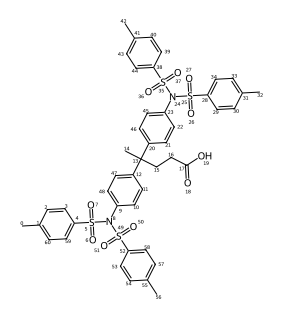 Cc1ccc(S(=O)(=O)N(c2ccc(C(C)(CCC(=O)O)c3ccc(N(S(=O)(=O)c4ccc(C)cc4)S(=O)(=O)c4ccc(C)cc4)cc3)cc2)S(=O)(=O)c2ccc(C)cc2)cc1